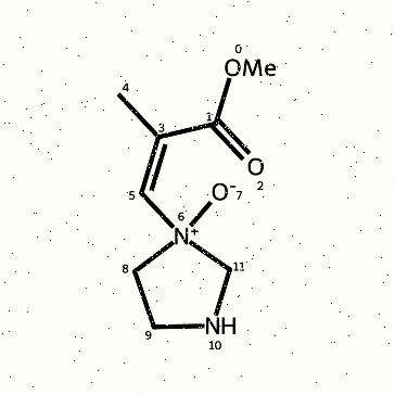 COC(=O)C(C)=C[N+]1([O-])CCNC1